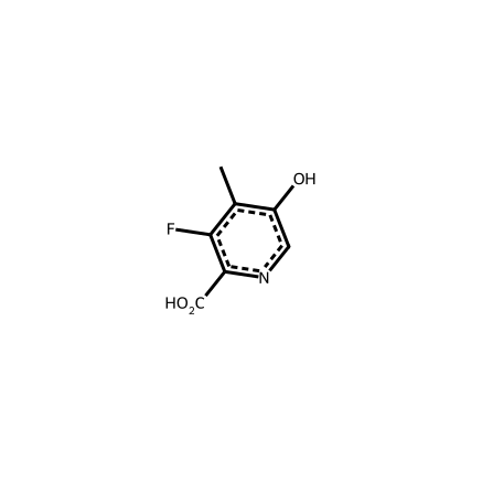 Cc1c(O)cnc(C(=O)O)c1F